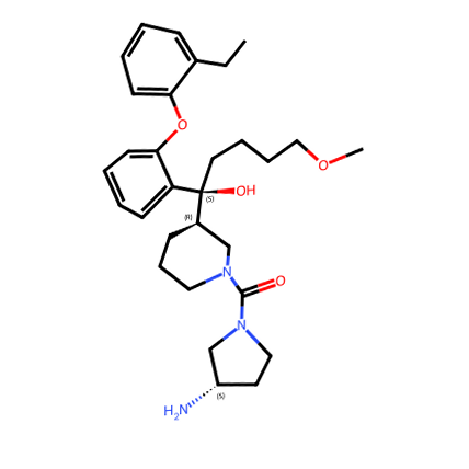 CCc1ccccc1Oc1ccccc1[C@](O)(CCCCOC)[C@@H]1CCCN(C(=O)N2CC[C@H](N)C2)C1